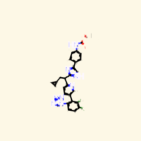 COC(=O)Nc1ccc(-c2c[nH]c(C(CC3CC3)c3ccc(-c4c(-n5cnnn5)ccc(Cl)c4F)cn3)n2)cc1